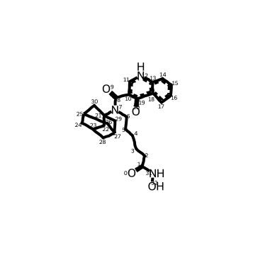 O=C(CCCCCN(C(=O)c1c[nH]c2ccccc2c1=O)C12CC3CC(CC(C3)C1)C2)NO